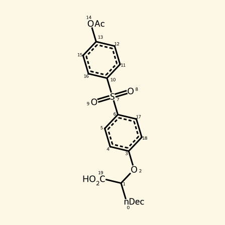 CCCCCCCCCCC(Oc1ccc(S(=O)(=O)c2ccc(OC(C)=O)cc2)cc1)C(=O)O